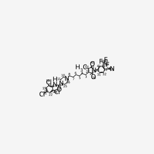 CC1=C(CCCCCCN2CCN(C(=O)Nc3c(Cl)cc(Cl)cc3Cl)CC2)C(=O)N(c2ccc(C#N)c(C(F)(F)F)c2)C1=O